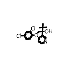 CC(C)(C)C(O)(COc1ccc(Cl)cc1Cl)c1cccnc1